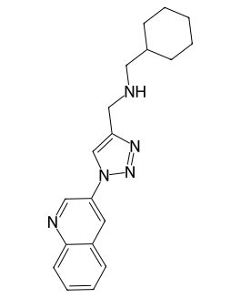 c1ccc2ncc(-n3cc(CNCC4CCCCC4)nn3)cc2c1